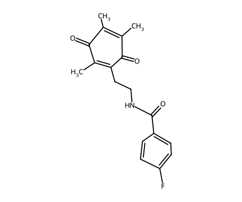 CC1=C(C)C(=O)C(CCNC(=O)c2ccc(F)cc2)=C(C)C1=O